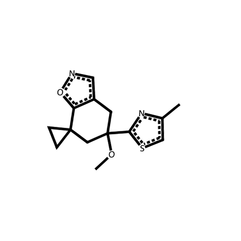 COC1(c2nc(C)cs2)Cc2cnoc2C2(CC2)C1